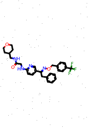 O=C(CNc1ccc(C(Cc2ccccc2)=NOCc2ccc(C(F)(F)F)cc2)cn1)NCC1CCOCC1